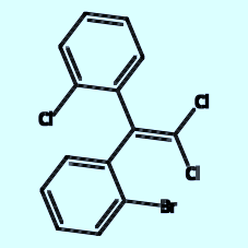 ClC(Cl)=C(c1ccccc1Cl)c1ccccc1Br